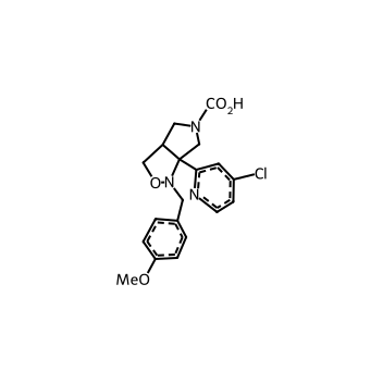 COc1ccc(CN2OCC3CN(C(=O)O)CC32c2cc(Cl)ccn2)cc1